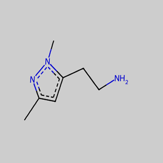 Cc1cc(CCN)n(C)n1